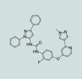 Cn1cc(-c2cc(Oc3ccc(NC(=O)Nc4cc(-c5ccccc5)nn4-c4ccccc4)c(F)c3)ccn2)cn1